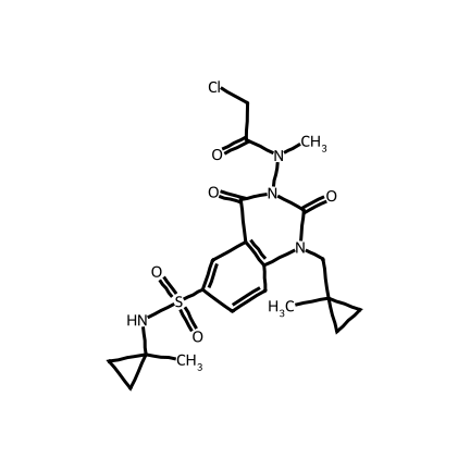 CN(C(=O)CCl)n1c(=O)c2cc(S(=O)(=O)NC3(C)CC3)ccc2n(CC2(C)CC2)c1=O